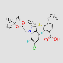 CCc1ccc(C(=O)O)c(F)c1Sc1c(C)n(CC(=O)OC(C)(C)C)c2c(F)c(Cl)ccc12